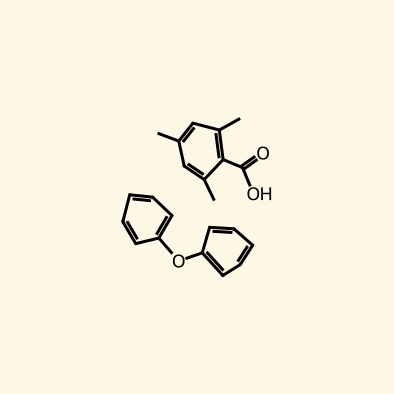 Cc1cc(C)c(C(=O)O)c(C)c1.c1ccc(Oc2ccccc2)cc1